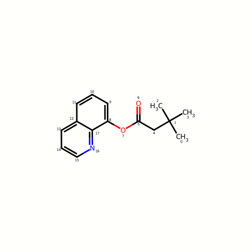 CC(C)(C)CC(=O)Oc1cccc2cccnc12